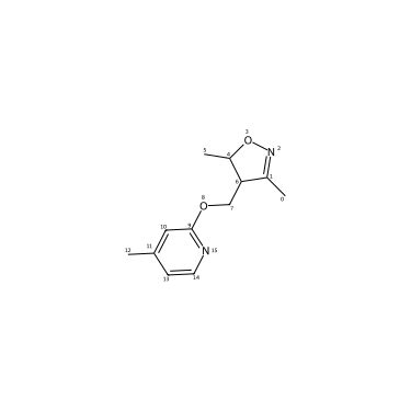 CC1=NOC(C)C1COc1cc(C)ccn1